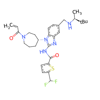 C=CC(=O)N1CCC[C@@H](n2c(NC(=O)c3ccc(C(F)F)s3)nc3cc(CN[C@@H](C)C(C)(C)C)ccc32)CC1